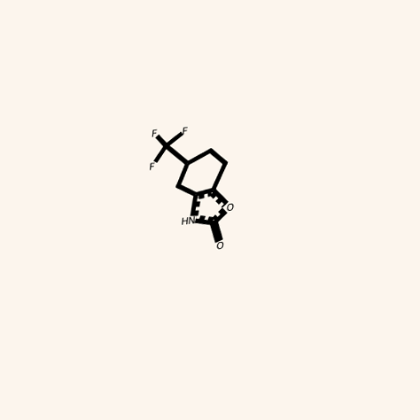 O=c1[nH]c2c(o1)CCC(C(F)(F)F)C2